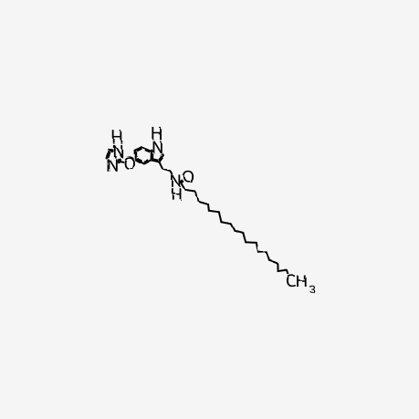 CCCCCCCCCCCCCCCCCCCC(=O)NCCc1c[nH]c2ccc(Oc3ncc[nH]3)cc12